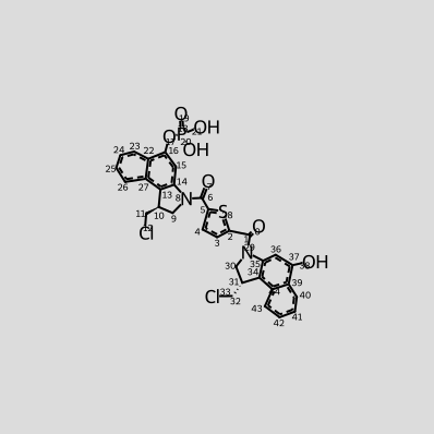 O=C(c1ccc(C(=O)N2C[C@@H](CCl)c3c2cc(OP(=O)(O)O)c2ccccc32)s1)N1C[C@@H](CCl)c2c1cc(O)c1ccccc21